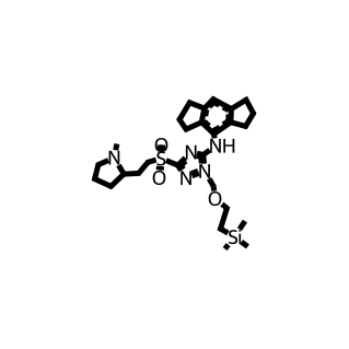 CN1CCCC1CCS(=O)(=O)c1nc(Nc2c3c(cc4c2CCC4)CCC3)n(COCC[Si](C)(C)C)n1